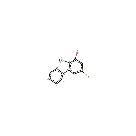 Cc1c(Br)cc(F)cc1-c1ccccc1